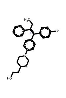 CC/C(=C(\c1ccc(Br)cc1)c1ccc(N2CCC(CCO)CC2)cc1)c1ccccc1